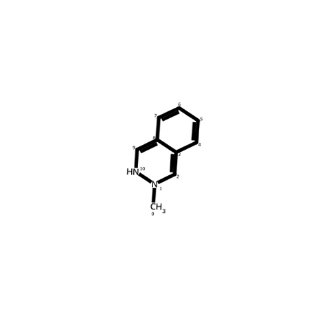 CN1C=c2ccccc2=CN1